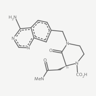 CNC(=O)C[C@H]1C(=O)N(Cc2ccc3c(N)ncnc3c2)CCN1C(=O)O